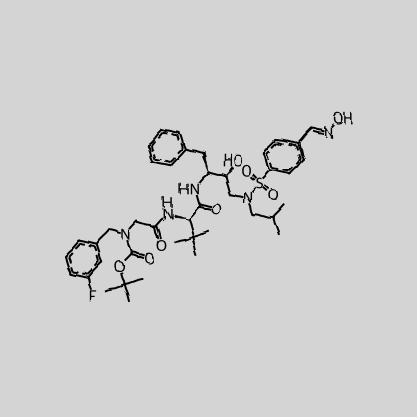 CC(C)CN(C[C@H](O)[C@H](Cc1ccccc1)NC(=O)[C@H](NC(=O)CN(Cc1cccc(F)c1)C(=O)OC(C)(C)C)C(C)(C)C)S(=O)(=O)c1ccc(C=NO)cc1